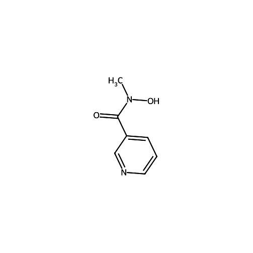 CN(O)C(=O)c1cccnc1